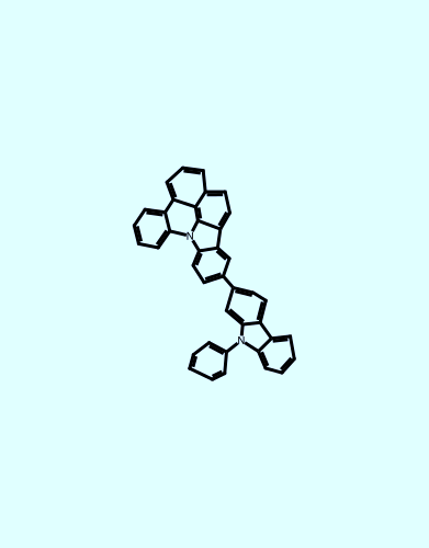 c1ccc(-n2c3ccccc3c3ccc(-c4ccc5c(c4)c4ccc6cccc7c8ccccc8n5c4c67)cc32)cc1